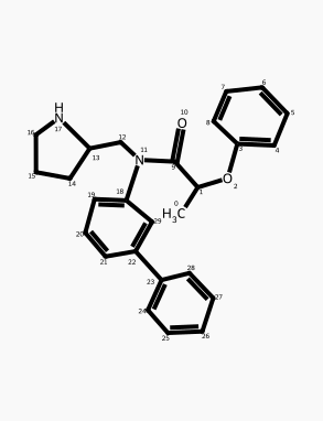 CC(Oc1ccccc1)C(=O)N(CC1CCCN1)c1cccc(-c2ccccc2)c1